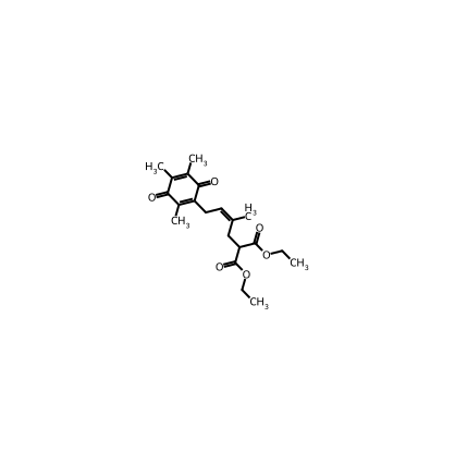 CCOC(=O)C(CC(C)=CCC1=C(C)C(=O)C(C)=C(C)C1=O)C(=O)OCC